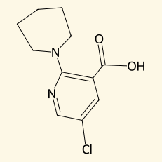 O=C(O)c1cc(Cl)cnc1N1CCCCC1